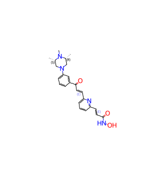 C[C@@H]1CN(c2cccc(C(=O)/C=C/c3cccc(/C=C/C(=O)NO)n3)c2)C[C@H](C)N1C